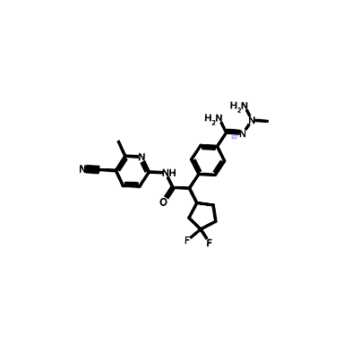 Cc1nc(NC(=O)C(c2ccc(/C(N)=N/N(C)N)cc2)C2CCC(F)(F)C2)ccc1C#N